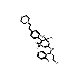 CC1(C)OC(N[C@@H](CCO)c2ccccc2F)=NS(=O)(=O)C1c1ccc(CCN2CCOCC2)cc1